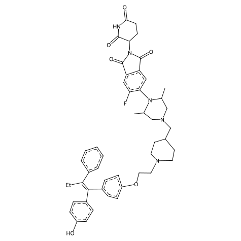 CCC(=C(c1ccc(O)cc1)c1ccc(OCCN2CCC(CN3CC(C)N(c4cc5c(cc4F)C(=O)N(C4CCC(=O)NC4=O)C5=O)C(C)C3)CC2)cc1)c1ccccc1